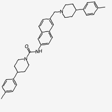 Cc1ccc(C2CCN(Cc3ccc4cc(NC(=O)N5CCC(c6ccc(C)cc6)CC5)ccc4c3)CC2)cc1